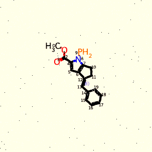 COC(=O)c1cc2c(n1P)CC/C2=C\c1ccccc1